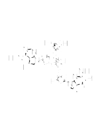 Nc1nc2c(ncn2[C@H]2C[C@H](F)[C@@H](COP(=O)(S)OC3C[C@H](n4cc(F)c5c(N)ncnc54)O[C@@H]3COP(=O)(O)S)O2)c(=O)[nH]1